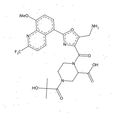 C=C(O)C1CN(C(=O)C(C)(C)O)CCN1C(=O)c1nc(-c2ccc(OC)c3nc(C(F)(F)F)ccc23)oc1CN